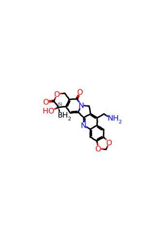 B[C@@]1(O)C(=O)OCc2c1cc1n(c2=O)Cc2c-1nc1cc3c(cc1c2CN)OCO3